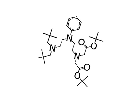 CC(C)(C)CN(CCN(CCN(CC(=O)OC(C)(C)C)CC(=O)OC(C)(C)C)c1ccccc1)CC(C)(C)C